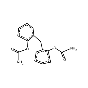 NC(=O)Oc1ccccc1Cc1ccccc1OC(N)=O